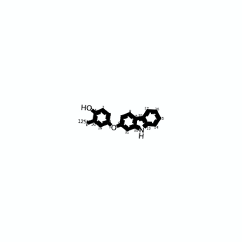 Oc1ccc(Oc2ccc3c(c2)[nH]c2ccccc23)cc1[125I]